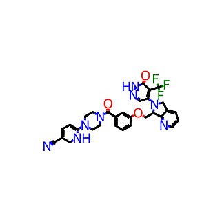 N#CC1=CC=C(N2CCN(C(=O)c3cccc(OCC4c5ncccc5CN4c4cn[nH]c(=O)c4C(F)(F)F)c3)CC2)NC1